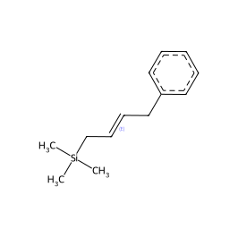 C[Si](C)(C)C/C=C/Cc1ccccc1